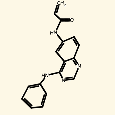 C=CC(=O)Nc1ccc2ncnc(Nc3ccccc3)c2c1